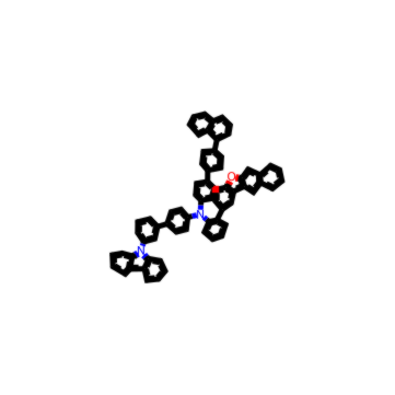 c1cc(-c2ccc(N(c3ccc(-c4ccc(-c5cccc6ccccc56)cc4)cc3)c3ccccc3-c3ccc4oc5cc6ccccc6cc5c4c3)cc2)cc(-n2c3ccccc3c3ccccc32)c1